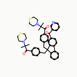 CC(C)(C(=O)c1ccc(CC2(Cc3ccc(C(=O)C(C)(C)N4CCSCC4)cc3)c3ccccc3-c3ccc(C(=O)c4cccnc4)cc32)cc1)N1CCSCC1